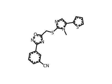 Cn1c(-c2cccs2)cnc1SCc1nc(-c2cccc(C#N)c2)no1